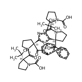 CC(C)(C)c1nc([C@]2(C(=O)n3c4ccc3cc4)CCCN2C(=O)[C@]2(C(C)(C)C)CCCN2C(=O)O)oc1[C@]1(C(=O)n2c3ccc2cc3)CCCN1C(=O)[C@H]1CCCN1C(=O)O